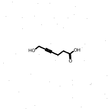 O=C(O)C[CH]C#CCO